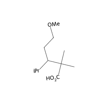 COCCC(C(C)C)C(C)(C)C(=O)O